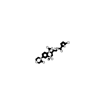 O=C(NCC1OC(=O)N2c3ccc(N4CCOCC4=O)cc3S(=O)(=O)CC12)c1ccc(Cl)s1